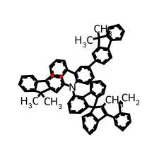 C=Cc1ccccc1C1=C(C)C2(c3ccccc31)c1ccccc1-c1c(N(c3ccc4c(c3)C(C)(C)c3ccccc3-4)c3ccc(-c4ccc5c(c4)C(C)(C)c4ccccc4-5)cc3-c3ccccc3)cccc12